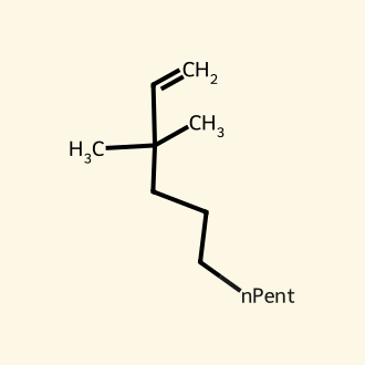 C=CC(C)(C)CCCCCCCC